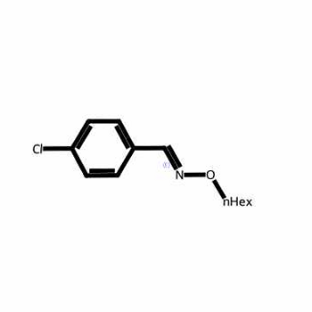 CCCCCCO/N=[C]/c1ccc(Cl)cc1